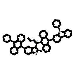 C=C/C=C(\c1c(C)oc2ccc(-c3c4ccccc4c(-c4ccccc4)c4ccccc34)cc12)c1c2ccccc2c(-c2ccc3c4ccccc4n(-c4ccccc4)c3c2)c2ccccc12